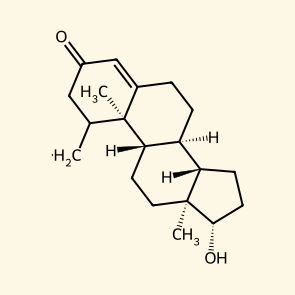 [CH2]C1CC(=O)C=C2CC[C@H]3[C@@H]4CC[C@H](O)[C@@]4(C)CC[C@@H]3[C@]21C